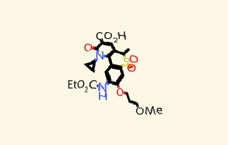 CCOC(=O)Nc1cc2c(cc1OCCCOC)S(=O)(=O)C(C)c1cc(C(=O)O)c(=O)n(C3CC3)c1-2